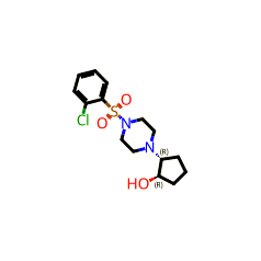 O=S(=O)(c1ccccc1Cl)N1CCN([C@@H]2CCC[C@H]2O)CC1